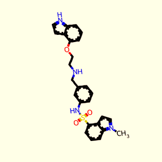 Cn1ccc2c(S(=O)(=O)Nc3cccc(CNCCOc4cccc5[nH]ccc45)c3)cccc21